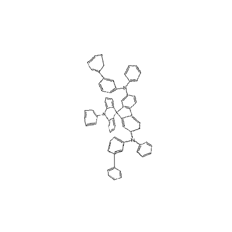 C1=CCCC(c2cccc(N(c3ccccc3)c3ccc4c(c3)C3(C5=CC(N(c6ccccc6)c6cccc(-c7ccccc7)c6)CC=C54)c4ccccc4N(c4ccccc4)c4ccccc43)c2)=C1